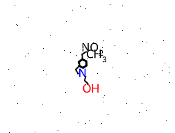 CC(Cc1ccc2c(c1)CCN2CCCO)[N+](=O)[O-]